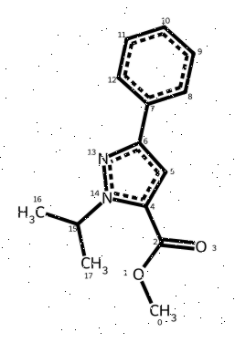 COC(=O)c1cc(-c2ccccc2)nn1C(C)C